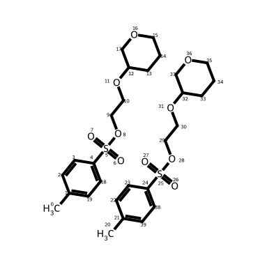 Cc1ccc(S(=O)(=O)OCCOC2CCCOC2)cc1.Cc1ccc(S(=O)(=O)OCCOC2CCCOC2)cc1